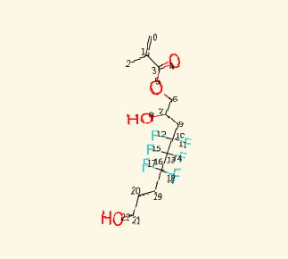 C=C(C)C(=O)OCC(O)CC(F)(F)C(F)(F)C(F)(F)CCCO